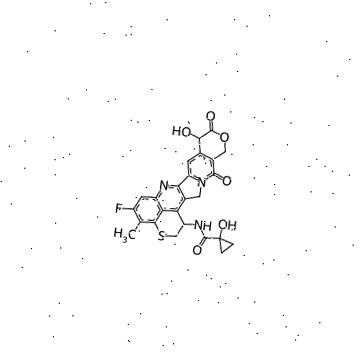 Cc1c(F)cc2nc3c(c4c2c1SCC4NC(=O)C1(O)CC1)Cn1c-3cc2c(c1=O)COC(=O)C2O